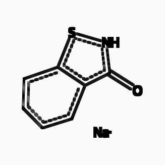 O=c1[nH]sc2ccccc12.[Na]